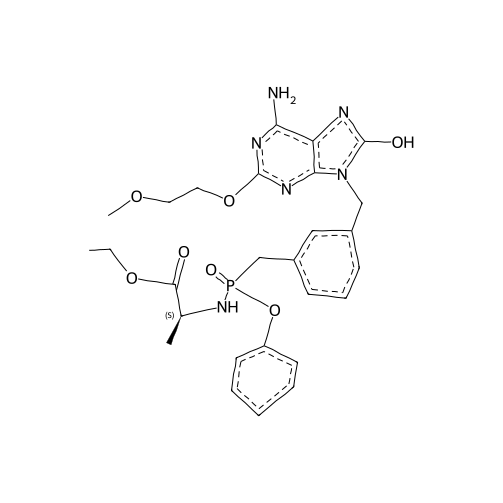 CCOC(=O)[C@H](C)NP(=O)(Cc1cccc(Cn2c(O)nc3c(N)nc(OCCOC)nc32)c1)Oc1ccccc1